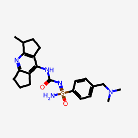 CC1CCc2c1nc1c(c2NC(=O)N=S(N)(=O)c2ccc(CN(C)C)cc2)CCC1